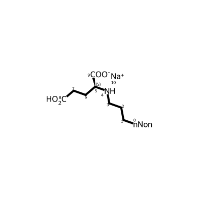 CCCCCCCCCCCCN[C@@H](CCC(=O)O)C(=O)[O-].[Na+]